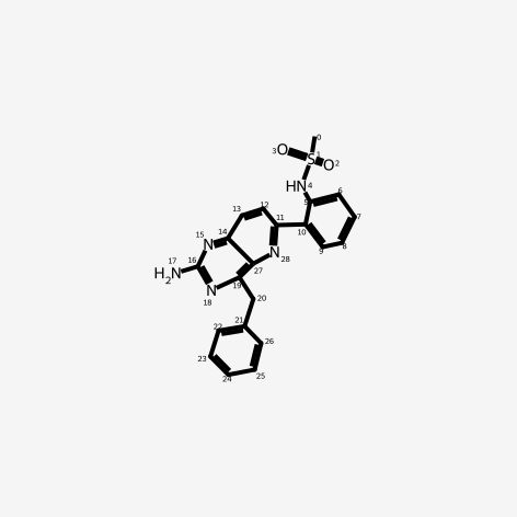 CS(=O)(=O)Nc1ccccc1-c1ccc2nc(N)nc(Cc3ccccc3)c2n1